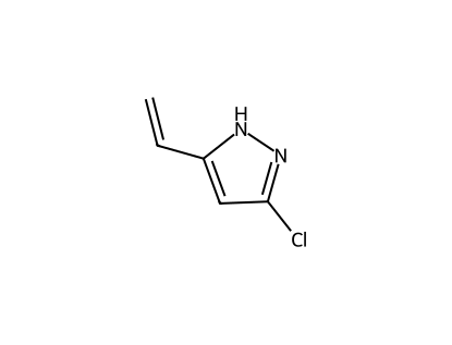 C=Cc1cc(Cl)n[nH]1